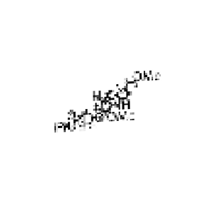 COCCc1ccc(Nc2ncnc(OC3CCN(C(=O)OC(C)C)CC3)c2OC)c(C)n1